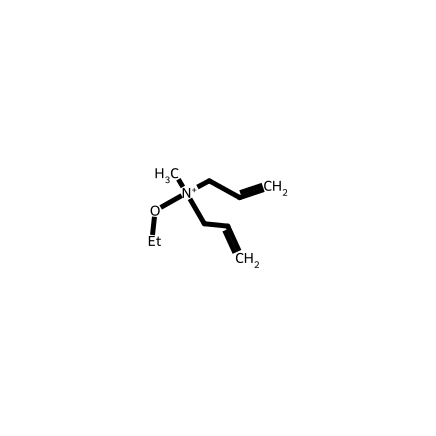 C=CC[N+](C)(CC=C)OCC